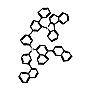 c1ccc(-c2ccc(-c3cccc(N(c4cccc(-c5cccc6ccccc56)c4)c4ccc(-c5ccc6ccccc6c5)c5ccccc45)c3)cc2-n2c3ccccc3c3c4ccccc4ccc32)cc1